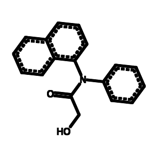 O=C(CO)N(c1ccccc1)c1cccc2ccccc12